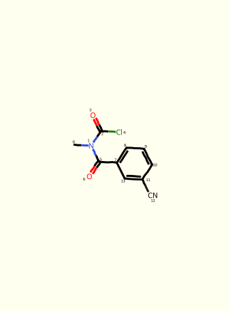 CN(C(=O)Cl)C(=O)c1cccc(C#N)c1